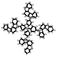 c1ccc2c(c1)sc1ccc3c(c4ccccc4n3-c3ccc([Si](c4ccc(-n5c6ccccc6c6c7c(ccc65)sc5ccccc57)cc4)(c4ccc(-n5c6ccccc6c6c7c(ccc65)sc5ccccc57)cc4)c4ccc(-n5c6ccccc6c6c7c(ccc65)sc5ccccc57)cc4)cc3)c12